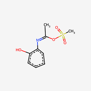 CC(=Nc1ccccc1O)OS(C)(=O)=O